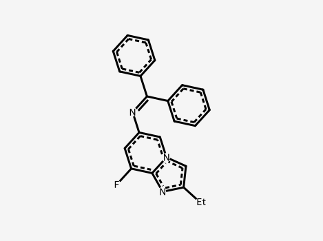 CCc1cn2cc(N=C(c3ccccc3)c3ccccc3)cc(F)c2n1